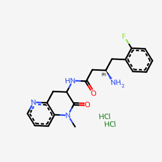 CN1C(=O)C(NC(=O)C[C@H](N)Cc2ccccc2F)Cc2ncccc21.Cl.Cl